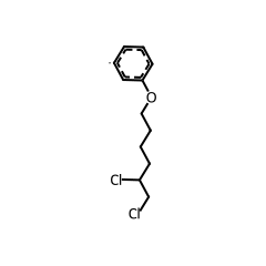 ClCC(Cl)CCCCOc1c[c]ccc1